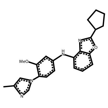 COc1cc(Nc2cccc3oc(C4CCCC4)nc23)ccc1-n1cnc(C)c1